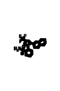 NS(=O)(=O)c1ccccc1-n1nc(C(F)(F)F)cc1-c1ccc2ccccc2c1